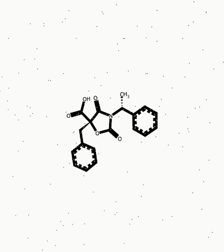 C[C@H](c1ccccc1)N1C(=O)O[C@](Cc2ccccc2)(C(=O)O)C1=O